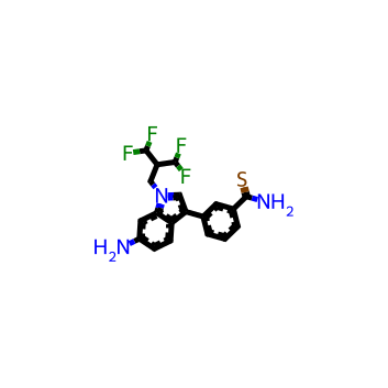 NC(=S)c1cccc(-c2cn(CC(C(F)F)C(F)F)c3cc(N)ccc23)c1